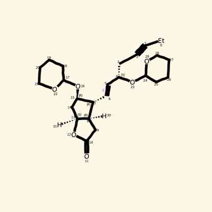 CCC#CC[C@@H](/C=C/[C@@H]1[C@H]2CC(=O)O[C@H]2C[C@H]1OC1CCCCO1)OC1CCCCO1